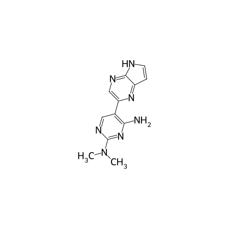 CN(C)c1ncc(-c2cnc3[nH]ccc3n2)c(N)n1